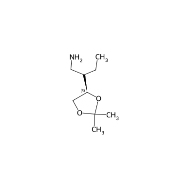 CCC(CN)[C@@H]1COC(C)(C)O1